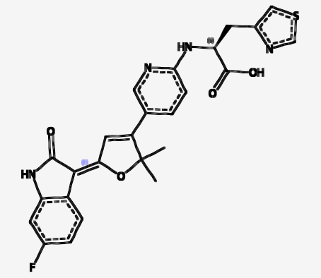 CC1(C)O/C(=C2/C(=O)Nc3cc(F)ccc32)C=C1c1ccc(N[C@@H](Cc2cscn2)C(=O)O)nc1